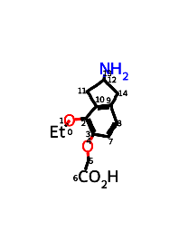 CCOc1c(OCC(=O)O)ccc2c1CC(N)C2